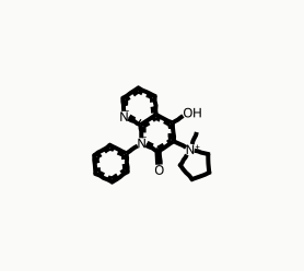 C[N+]1(c2c(O)c3cccnc3n(-c3ccccc3)c2=O)CCCC1